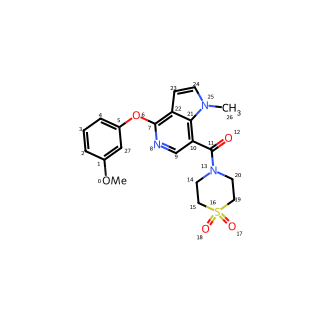 COc1cccc(Oc2ncc(C(=O)N3CCS(=O)(=O)CC3)c3c2ccn3C)c1